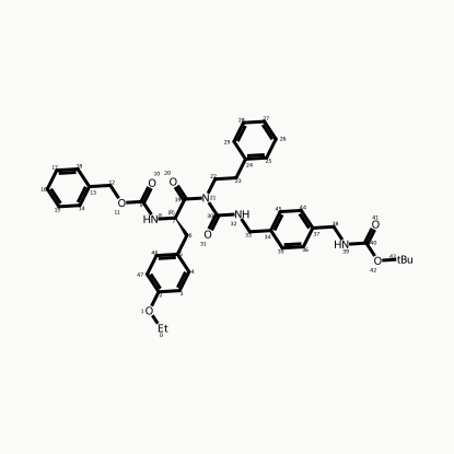 CCOc1ccc(C[C@@H](NC(=O)OCc2ccccc2)C(=O)N(CCc2ccccc2)C(=O)NCc2ccc(CNC(=O)OC(C)(C)C)cc2)cc1